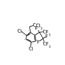 FC(F)(F)C(F)(F)C(F)(c1cc(Cl)[c]c(Cl)c1CC(Cl)(Cl)Cl)C(F)(F)F